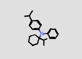 CC(C)c1ccc(N(c2ccccc2)C2(C(C)C)CCCCC2)cc1